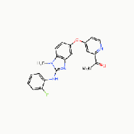 CNC(=O)c1cc(Oc2ccc3c(c2)nc(Nc2ccccc2F)n3C)ccn1